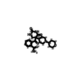 NC(=O)c1ccccc1C(=O)C1(C2CCN(C3CCOCC3)CC2)CNC(=O)NC1=O